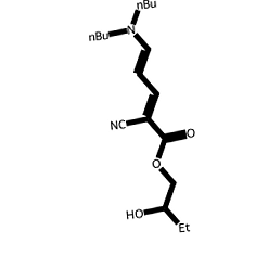 CCCCN(/C=C/C=C(\C#N)C(=O)OCC(O)CC)CCCC